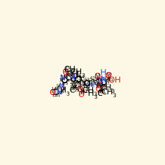 CCn1c(-c2cc(N3CCN4CCOCC4C3)cnc2[C@H](C)OC)c(CC(C)(C)COC(C)=O)c2cc(-c3cccc(CC(NC(=O)OC(C)(C)C)C(=O)N4CCCC(C(=O)O)N4)c3)ccc21